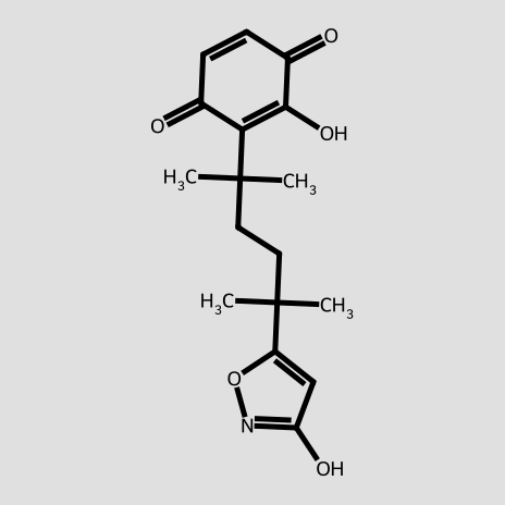 CC(C)(CCC(C)(C)c1cc(O)no1)C1=C(O)C(=O)C=CC1=O